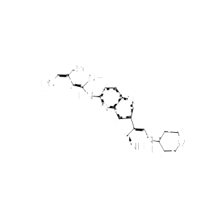 CC(C)C(=C/N)/C=C(\N)Nc1ccc2ncc(/C(C=N)=C/NC3CCOCC3)cc2n1